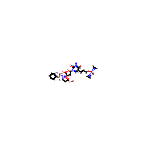 COC(=O)C[C@H](C)NP(=O)(Oc1ccccc1)O[C@@H]1OC(n2cc(/C=C/COP(=O)(N3CC3)N3CC3)c(=O)[nH]c2=O)C[C@@H]1O